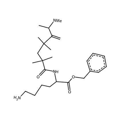 C=C(C(C)NC)C(C)(C)CC(C)(C)C(=O)NC(CCCCN)C(=O)OCc1ccccc1